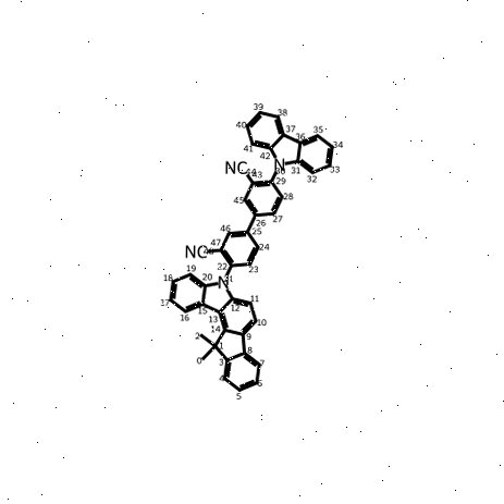 CC1(C)c2ccccc2-c2ccc3c(c21)c1ccccc1n3-c1ccc(-c2ccc(-n3c4ccccc4c4ccccc43)c(C#N)c2)cc1C#N